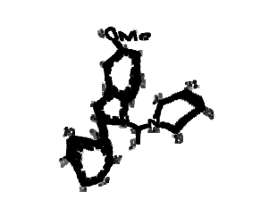 COc1ccc2c(c1)cc(-c1ccccc1)n2C(C)N1CCCC1